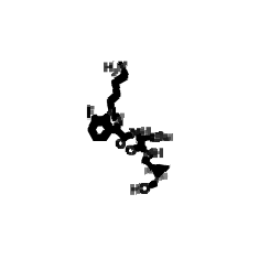 CC(C)(C)C(NC(=O)c1nn(CCCCN)c2c(F)cccc12)C(=O)NC[C@H]1C[C@@H]1CO